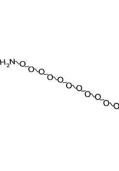 CCOCCOCCOCCOCCOCCOCCOCCOCCOCCOCCOCCN